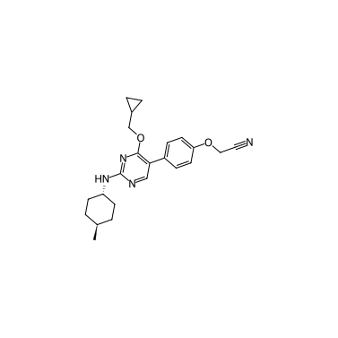 C[C@H]1CC[C@H](Nc2ncc(-c3ccc(OCC#N)cc3)c(OCC3CC3)n2)CC1